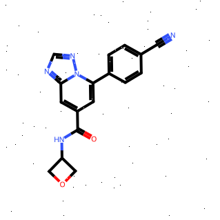 N#Cc1ccc(-c2cc(C(=O)NC3COC3)cc3ncnn23)cc1